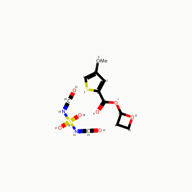 COc1csc(C(=O)OC2CCO2)c1.O=C=NS(=O)(=O)N=C=O